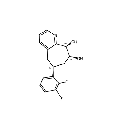 O[C@@H]1c2ncccc2C[C@H](c2cccc(F)c2F)C[C@@H]1O